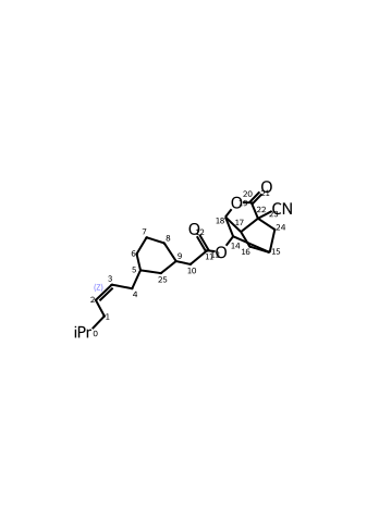 CC(C)C/C=C\CC1CCCC(CC(=O)OC2C3CC4C2OC(=O)C4(C#N)C3)C1